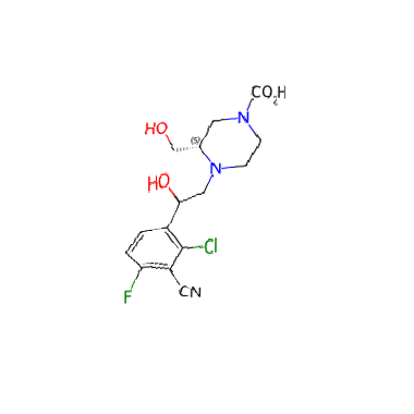 N#Cc1c(F)ccc(C(O)CN2CCN(C(=O)O)C[C@H]2CO)c1Cl